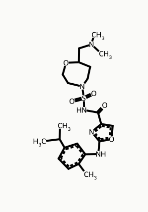 Cc1ccc(C(C)C)cc1Nc1nc(C(=O)NS(=O)(=O)N2CCOC(CN(C)C)CC2)co1